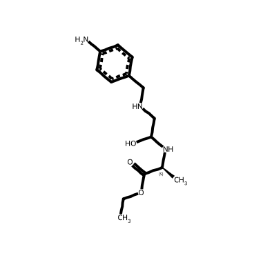 CCOC(=O)[C@H](C)NC(O)CNCc1ccc(N)cc1